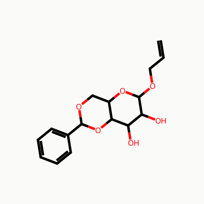 C=CCOC1OC2COC(c3ccccc3)OC2C(O)C1O